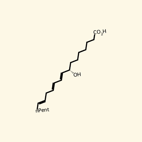 CCCCCC=CCC=CC=C[C@@H](O)CCCCCCC(=O)O